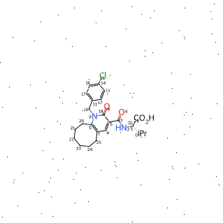 CC(C)[C@H](NC(=O)c1cc2c(n(Cc3ccc(Cl)cc3)c1=O)CCCCCC2)C(=O)O